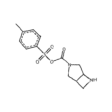 Cc1ccc(S(=O)(=O)OC(=O)N2CC3CNC3C2)cc1